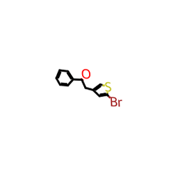 O=C(Cc1csc(Br)c1)c1ccccc1